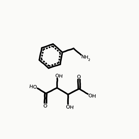 NCc1ccccc1.O=C(O)C(O)C(O)C(=O)O